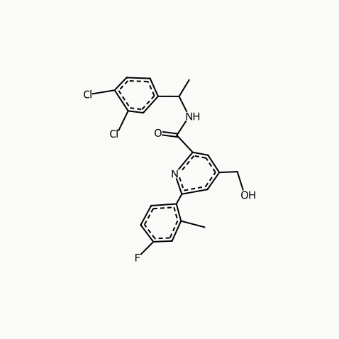 Cc1cc(F)ccc1-c1cc(CO)cc(C(=O)NC(C)c2ccc(Cl)c(Cl)c2)n1